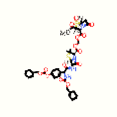 CC(=O)OC[C@@]1(C)[C@H](C(=O)OCOC(=O)[C@@H]2N3C(=O)[C@@H](NC(=O)C(NC(=O)OCc4ccccc4)c4ccc(OC(=O)OCc5ccccc5)cc4)[C@H]3SC2(C)C)N2C(=O)C[C@H]2S1(=O)=O